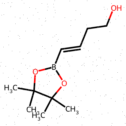 CC1(C)OB(C=CCCO)OC1(C)C